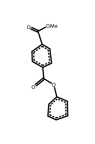 COC(=O)c1ccc(C(=O)Oc2ccccc2)cc1